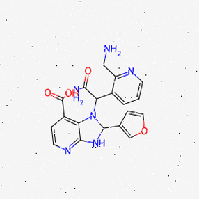 NCc1ncccc1C(C(N)=O)N1c2c(C(=O)O)ccnc2NC1c1ccoc1